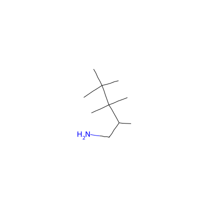 CC(CN)C(C)(C)C(C)(C)C